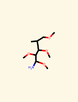 COCC(C)C(OC)C(OC)C(N)OC